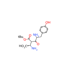 CC(C)(C)OC(=O)C(C(=O)C(N)Cc1ccc(O)cc1)[C@@H](N)C(=O)O